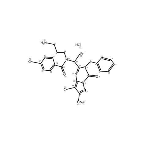 COc1nn2c(=O)n(Cc3ccccc3)c(C(C(C)C)N(CCCN)C(=O)c3ccc(Cl)cc3)nc2c1Cl.Cl